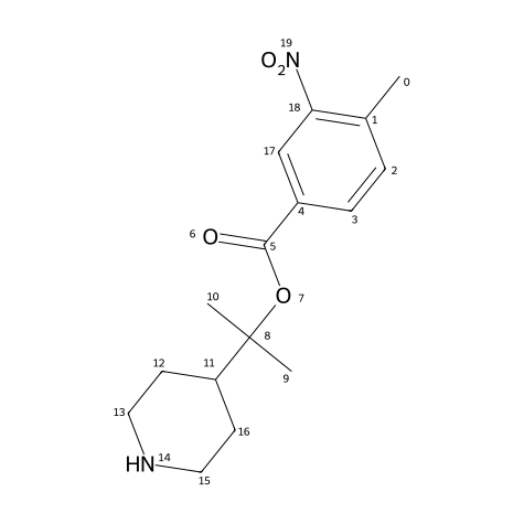 Cc1ccc(C(=O)OC(C)(C)C2CCNCC2)cc1[N+](=O)[O-]